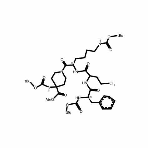 COC(=O)C1(NC(=O)OC(C)(C)C)CCN(C(=O)[C@@H](CCCCNC(=O)OC(C)(C)C)NC(=O)C(CCC(F)(F)F)NC(=O)[C@@H](Cc2ccccc2)NC(=O)OC(C)(C)C)CC1